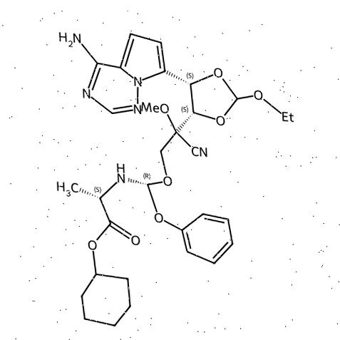 CCOC1O[C@@H](c2ccc3c(N)ncnn23)[C@@H](C(C#N)(CO[C@@H](N[C@@H](C)C(=O)OC2CCCCC2)Oc2ccccc2)OC)O1